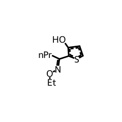 CCCC(=NOCC)c1sccc1O